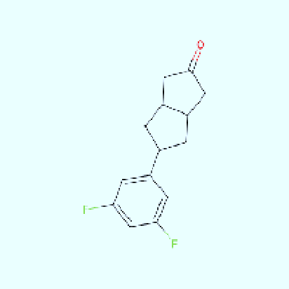 O=C1CC2CC(c3cc(F)cc(F)c3)CC2C1